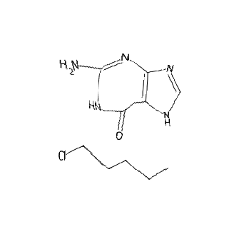 CCCCCCl.Nc1nc2nc[nH]c2c(=O)[nH]1